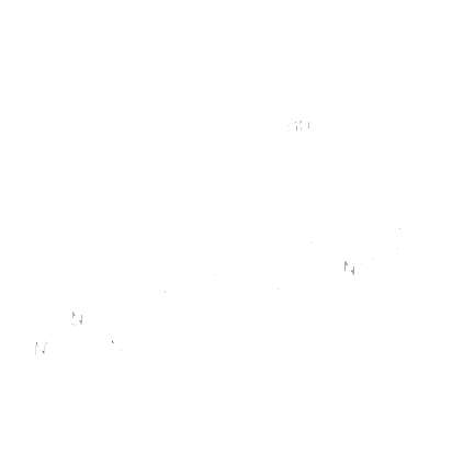 C=CC(=C)N1CC(c2ccc(-n3nnc4ccccc43)cc2)C1CCNCCC